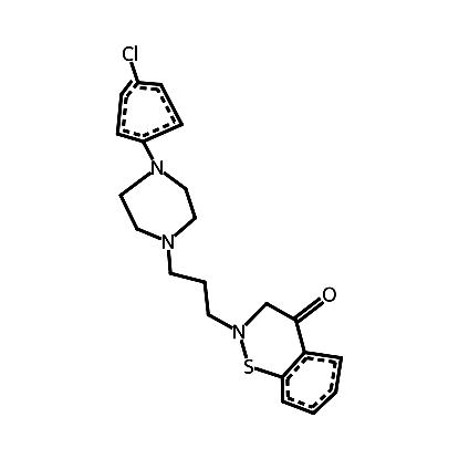 O=C1CN(CCCN2CCN(c3ccc(Cl)cc3)CC2)Sc2ccccc21